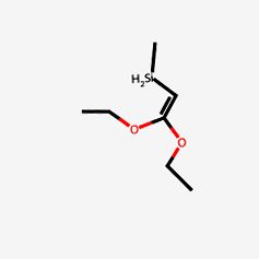 CCOC(=C[SiH2]C)OCC